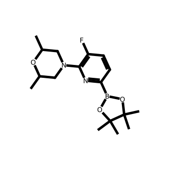 CC1CN(c2nc(B3OC(C)(C)C(C)(C)O3)ccc2F)CC(C)O1